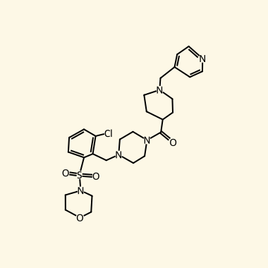 O=C(C1CCN(Cc2ccncc2)CC1)N1CCN(Cc2c(Cl)cccc2S(=O)(=O)N2CCOCC2)CC1